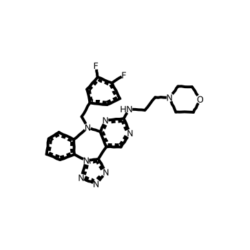 Fc1ccc(CN2c3ccccc3-n3nnnc3-c3cnc(NCCN4CCOCC4)nc32)cc1F